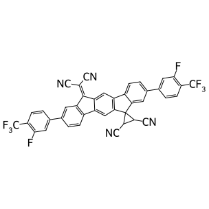 N#CC(C#N)=C1c2cc(-c3ccc(C(F)(F)F)c(F)c3)ccc2-c2cc3c(cc21)-c1ccc(-c2ccc(C(F)(F)F)c(F)c2)cc1C31C(C#N)C1C#N